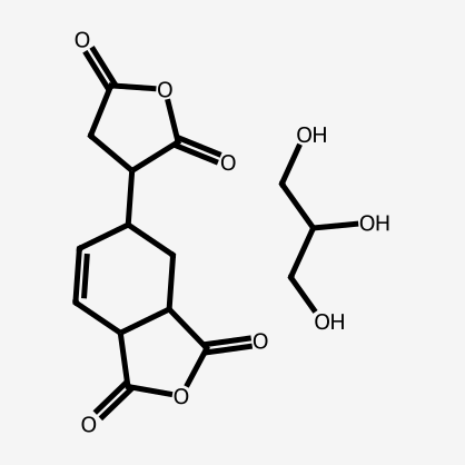 O=C1CC(C2C=CC3C(=O)OC(=O)C3C2)C(=O)O1.OCC(O)CO